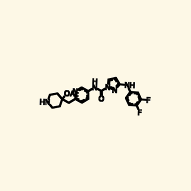 CC(=O)OC1(Cc2ccc(NC(=O)n3ccc(Nc4ccc(F)c(F)c4)n3)cn2)CCNCC1